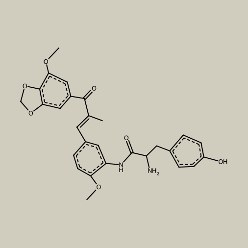 COc1ccc(C=C(C)C(=O)c2cc(OC)c3c(c2)OCO3)cc1NC(=O)C(N)Cc1ccc(O)cc1